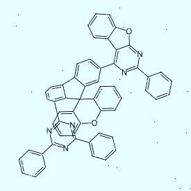 c1ccc(-c2nc(-c3ccccc3)nc(-c3cccc4c3C3(c5ccccc5Oc5ccccc53)c3cc(-c5nc(-c6ccccc6)nc6oc7ccccc7c56)ccc3-4)n2)cc1